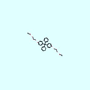 C=CC(=O)OCC(O)COc1ccc(C(C2=CC=CCC2)(c2ccccc2)c2ccc(OCC(O)COC(=O)C=C)cc2)cc1